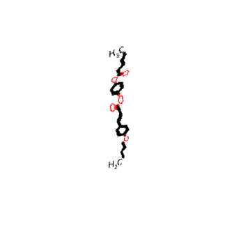 [CH2]CCCCOc1ccc(/C=C/C(=O)Oc2ccc(OC(=O)CCCCC)cc2)cc1